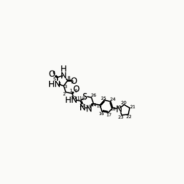 O=C(CC1NC(=O)NC1=O)NC1=NN=C(c2ccc(N3CCCC3)cc2)CS1